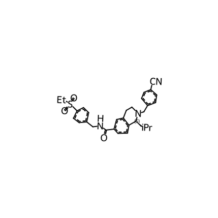 CCS(=O)(=O)c1ccc(CNC(=O)c2ccc3c(c2)CCN(Cc2ccc(C#N)cc2)[C@H]3C(C)C)cc1